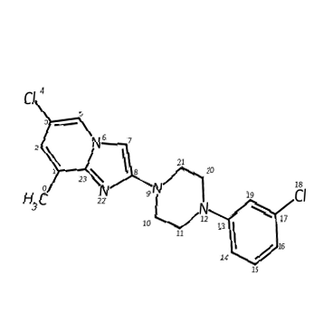 Cc1cc(Cl)cn2cc(N3CCN(c4cccc(Cl)c4)CC3)nc12